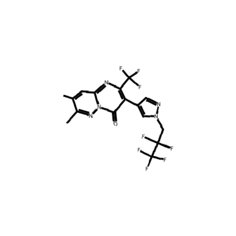 Cc1cc2nc(C(F)(F)F)c(-c3cnn(CC(F)(F)C(F)(F)F)c3)c(=O)n2nc1C